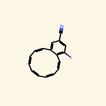 N#Cc1cc(I)c2c(c1)\C=C/C=C\C=C/C=C\C=C/2